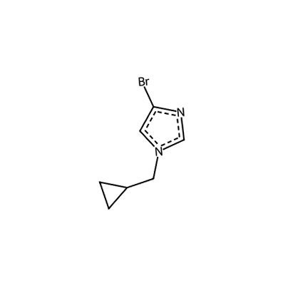 Brc1cn(CC2CC2)cn1